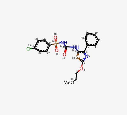 COCCOc1nc(-c2ccccc2)c(NC(=O)NS(=O)(=O)c2ccc(Cl)cc2)s1